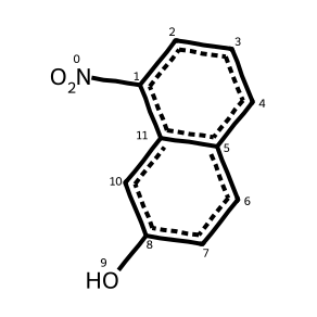 O=[N+]([O-])c1cccc2ccc(O)cc12